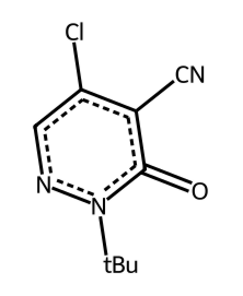 CC(C)(C)n1ncc(Cl)c(C#N)c1=O